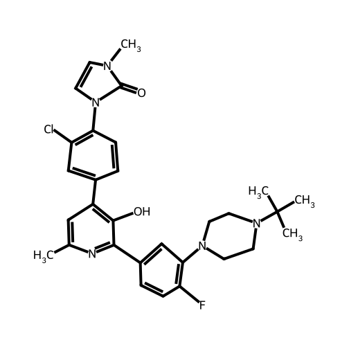 Cc1cc(-c2ccc(-n3ccn(C)c3=O)c(Cl)c2)c(O)c(-c2ccc(F)c(N3CCN(C(C)(C)C)CC3)c2)n1